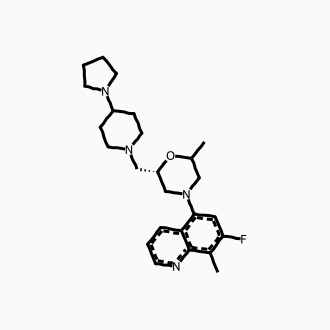 Cc1c(F)cc(N2CC(C)O[C@@H](CN3CCC(N4CCCC4)CC3)C2)c2cccnc12